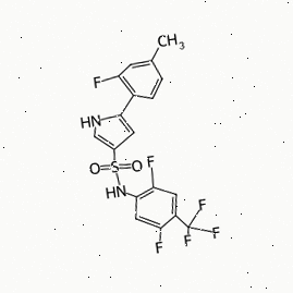 Cc1ccc(-c2cc(S(=O)(=O)Nc3cc(F)c(C(F)(F)F)cc3F)c[nH]2)c(F)c1